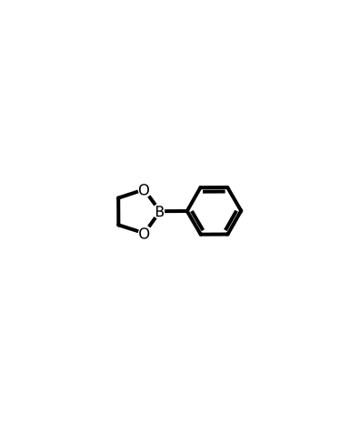 c1ccc(B2OCCO2)cc1